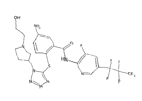 O=C(Nc1ncc(C(F)(F)C(F)(F)C(F)(F)F)cc1F)c1cc([N+](=O)[O-])ccc1Sc1nnnn1C1CCN(CCO)C1